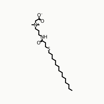 CCCCCCCCCCCCCCSCCC(=O)NCCC[N+](C)(C)CC(=O)[O-]